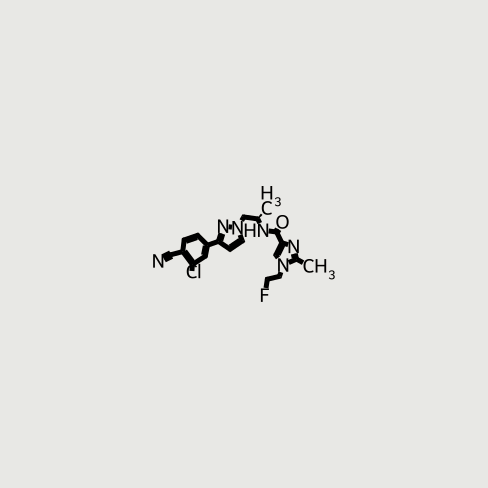 Cc1nc(C(=O)N[C@@H](C)Cn2ccc(-c3ccc(C#N)c(Cl)c3)n2)cn1CCF